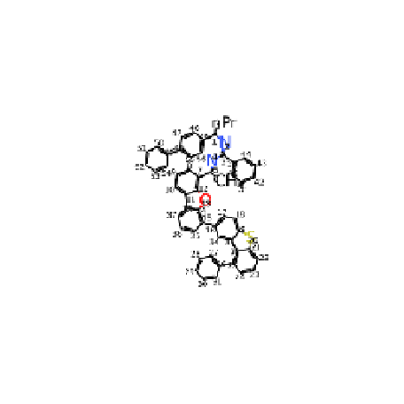 CCCC(/N=C(\N=C(/C)c1cccc2c1oc1c(-c3ccc4sc5cccc(-c6ccccc6)c5c4c3)cccc12)c1ccccc1)c1ccc(-c2ccccc2)cc1